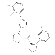 Cc1cccc(-c2ocnc2C(=O)N2CCCC2c2nc(-c3cccc(Cl)c3C)no2)c1